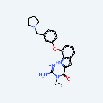 CN(C(=N)N)C(=O)c1cc2cccc(Oc3cccc(CN4CCCC4)c3)c2[nH]1